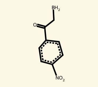 BCC(=O)c1ccc([N+](=O)[O-])cc1